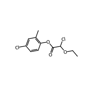 CCOC(Cl)C(=O)Oc1ccc(Cl)cc1C